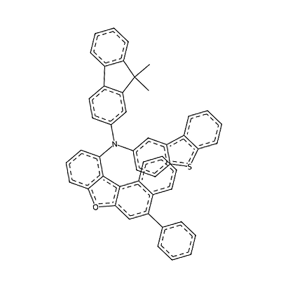 CC1(C)c2ccccc2-c2ccc(N(c3ccc4sc5ccccc5c4c3)c3cccc4oc5cc(-c6ccccc6)c6ccccc6c5c34)cc21